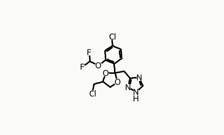 FC(F)Oc1cc(Cl)ccc1C1(Cc2nc[nH]n2)OCC(CCl)O1